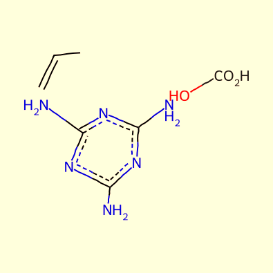 C=CC.Nc1nc(N)nc(N)n1.O=C(O)O